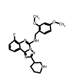 COc1ccc(CNc2nc3c(F)cccc3c3nc(C4CCCNC4)nn23)c(OC)c1